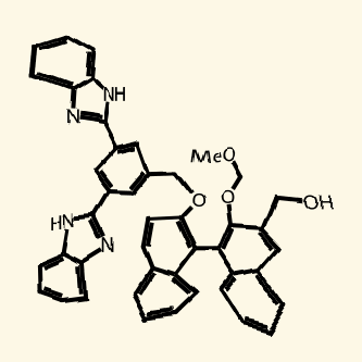 COCOc1c(CO)cc2ccccc2c1-c1c(OCc2cc(-c3nc4ccccc4[nH]3)cc(-c3nc4ccccc4[nH]3)c2)ccc2ccccc12